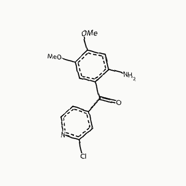 COc1cc(N)c(C(=O)c2ccnc(Cl)c2)cc1OC